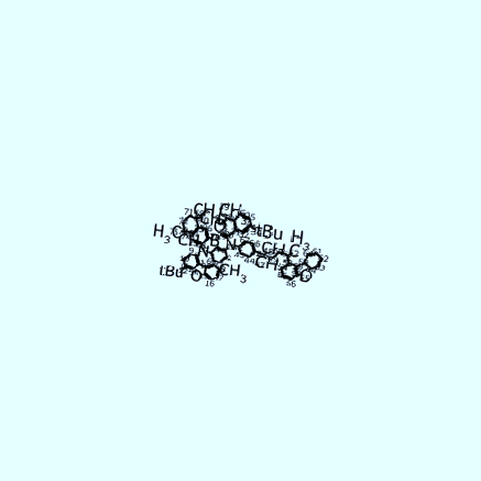 Cc1cc2c3c(c1)N(c1ccc(C(C)(C)C)c4oc5ccccc5c14)c1cc4c(cc1B3C1=C(c3cc(C(C)(C)C)ccc3C(C)O1)N2c1ccc(C(C)(C)CCC(C)c2cccc3c2C2C=CC=CC2O3)cc1)C(C)(C)CCC4(C)C